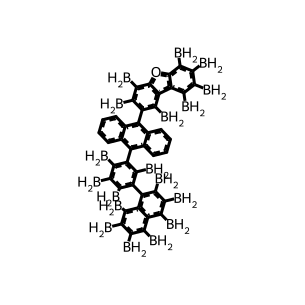 Bc1c(B)c(-c2c3ccccc3c(-c3c(B)c(B)c4oc5c(B)c(B)c(B)c(B)c5c4c3B)c3ccccc23)c(B)c(-c2c(B)c(B)c(B)c3c(B)c(B)c(B)c(B)c23)c1B